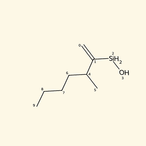 C=C([SiH2]O)C(C)CCCC